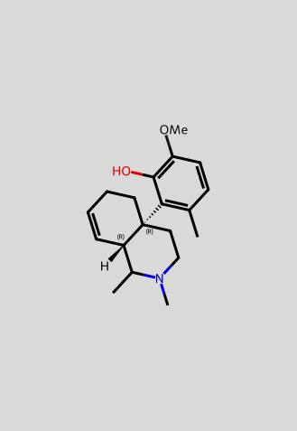 COc1ccc(C)c([C@@]23CCC=C[C@H]2C(C)N(C)CC3)c1O